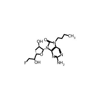 CCCCn1c(=O)n([C@@H]2O[C@H]([C@@H](O)CF)C[C@H]2O)c2nc(N)ncc21